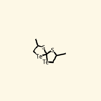 CC1C[Te]C2(S1)SC(C)C[Te]2